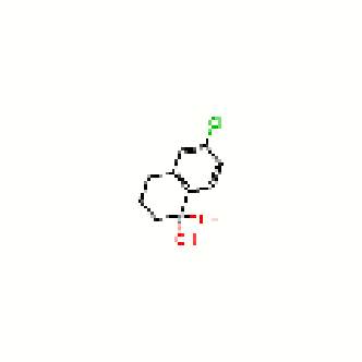 OC1(O)CCCc2cc(Cl)ccc21